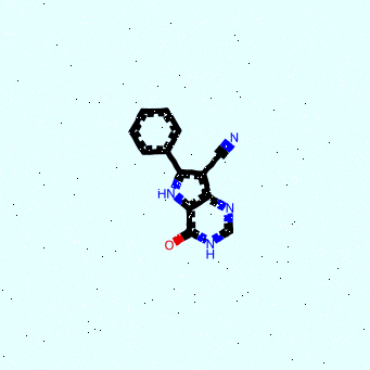 N#Cc1c(-c2ccccc2)[nH]c2c(=O)[nH]cnc12